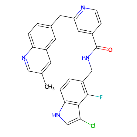 Cc1cnc2ccc(Cc3cc(C(=O)NCc4ccc5[nH]cc(Cl)c5c4F)ccn3)cc2c1